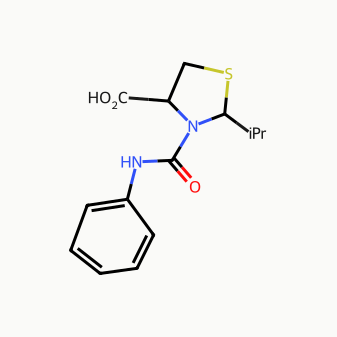 CC(C)C1SCC(C(=O)O)N1C(=O)Nc1ccccc1